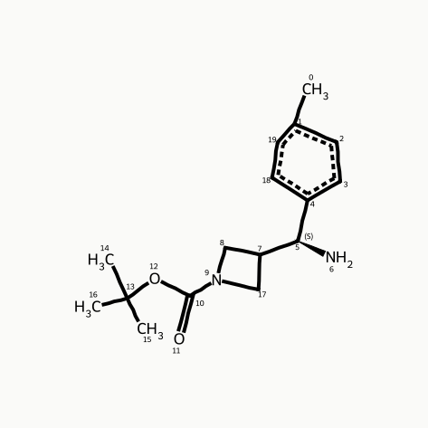 Cc1ccc([C@@H](N)C2CN(C(=O)OC(C)(C)C)C2)cc1